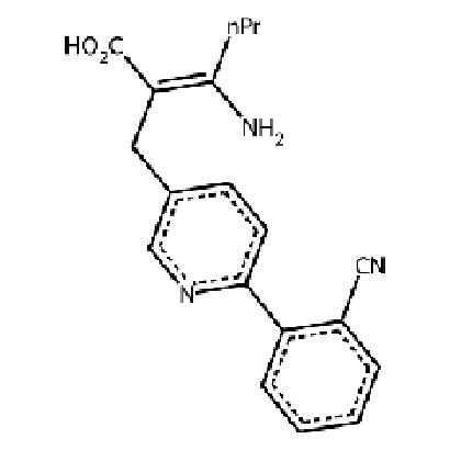 CCCC(N)=C(Cc1ccc(-c2ccccc2C#N)nc1)C(=O)O